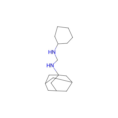 C1CCC(NCNC23CC4CC(CC(C4)C2)C3)CC1